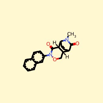 CN1C(=O)C2C=CC1[C@H]1C(=O)N(c3ccc4ccccc4c3)OC[C@@H]21